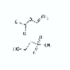 C=COC(=O)O.CS(=O)(=O)CCO